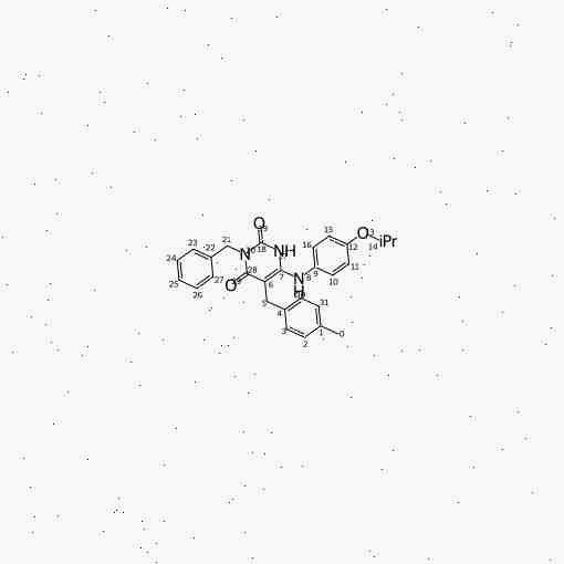 Cc1ccc(Cc2c(Nc3ccc(OC(C)C)cc3)[nH]c(=O)n(Cc3ccccc3)c2=O)cc1